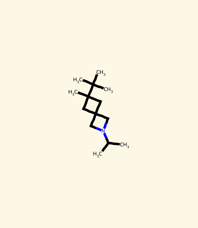 CC(C)N1CC2(C1)CC(C)(C(C)(C)C)C2